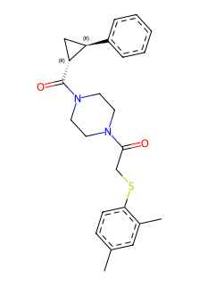 Cc1ccc(SCC(=O)N2CCN(C(=O)[C@@H]3C[C@H]3c3ccccc3)CC2)c(C)c1